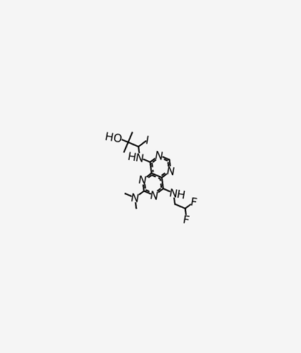 CN(C)c1nc(NCC(F)F)c2ncnc(NC(I)C(C)(C)O)c2n1